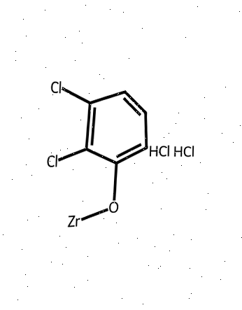 Cl.Cl.Clc1cccc([O][Zr])c1Cl